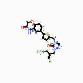 NC/C(=C/F)Cn1ncn(Cc2ccc(-c3ccc4c(c3)NC(=O)CO4)s2)c1=O